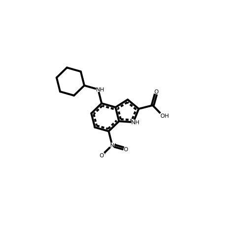 O=C(O)c1cc2c(NC3CCCCC3)ccc([N+](=O)[O-])c2[nH]1